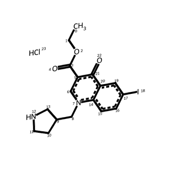 CCOC(=O)c1cn(CC2CCNC2)c2ccc(I)cc2c1=O.Cl